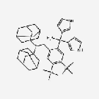 C[Si](C)(C)c1cc(CP(C23CC4CC(CC(C4)C2)C3)C23CC4CC(CC(C4)C2)C3)c(C(P)(c2cc[nH]c2)c2cc[nH]c2)cc1[Si](C)(C)C